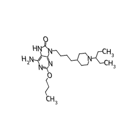 CCCCOc1nc(N)c2[nH]c(=O)n(CCCCC3CCN(C(CC)CC)CC3)c2n1